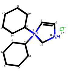 C1=C[N+](C2CCCCC2)(C2CCCCC2)CN1.[Cl-]